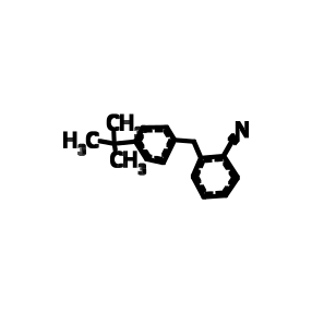 CC(C)(C)c1ccc(Cc2ccccc2C#N)cc1